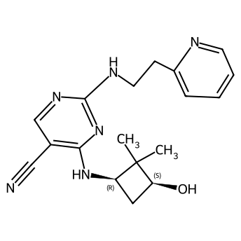 CC1(C)[C@@H](O)C[C@H]1Nc1nc(NCCc2ccccn2)ncc1C#N